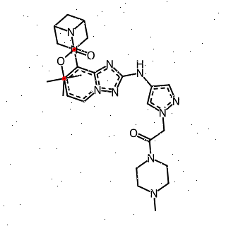 CN1CCN(C(=O)Cn2cc(Nc3nc4c(N5CC6CC(C5)N6C(=O)OC(C)(C)C)cccn4n3)cn2)CC1